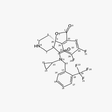 O=C1O[C@@]2(CCNCC2C(=O)N(Cc2ccccc2C(F)(F)F)C2CC2)c2cc(F)c(F)cc21